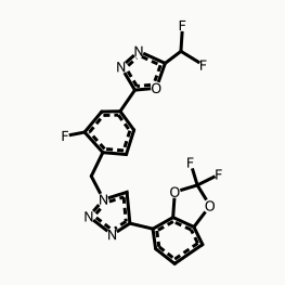 Fc1cc(-c2nnc(C(F)F)o2)ccc1Cn1cc(-c2cccc3c2OC(F)(F)O3)nn1